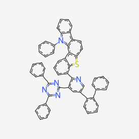 c1ccc(-c2nc(-c3ccccc3)nc(-c3cc(-c4ccccc4-c4ccccc4)cnc3-c3cccc4c3sc3ccc5c6ccccc6n(-c6ccccc6)c5c34)n2)cc1